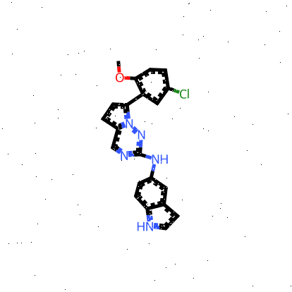 COc1ccc(Cl)cc1-c1ccc2cnc(Nc3ccc4[nH]ccc4c3)nn12